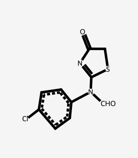 O=CN(C1=NC(=O)CS1)c1ccc(Cl)cc1